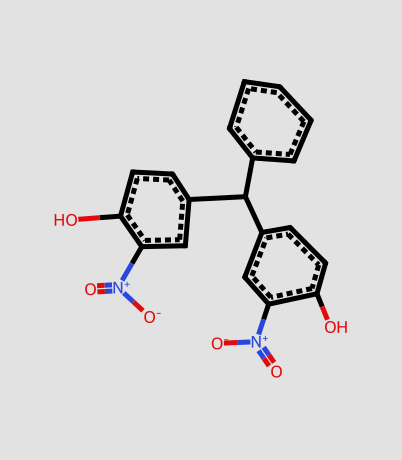 O=[N+]([O-])c1cc(C(c2ccccc2)c2ccc(O)c([N+](=O)[O-])c2)ccc1O